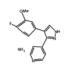 COc1cc(-c2c[nH]nc2-c2ccncc2)ccc1F.N